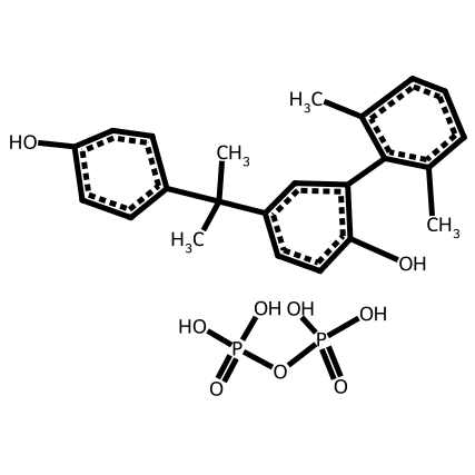 Cc1cccc(C)c1-c1cc(C(C)(C)c2ccc(O)cc2)ccc1O.O=P(O)(O)OP(=O)(O)O